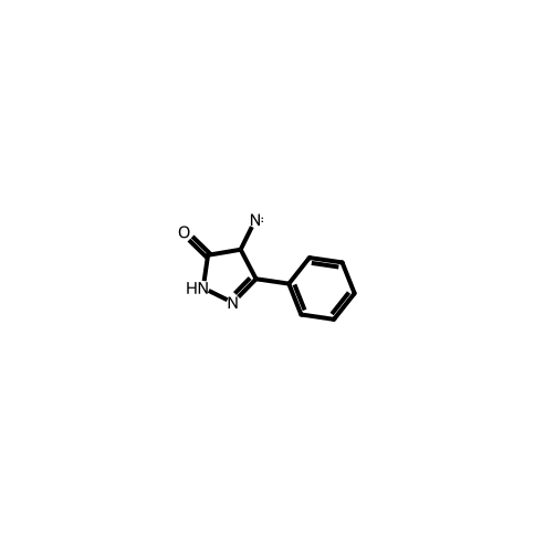 [N]C1C(=O)NN=C1c1ccccc1